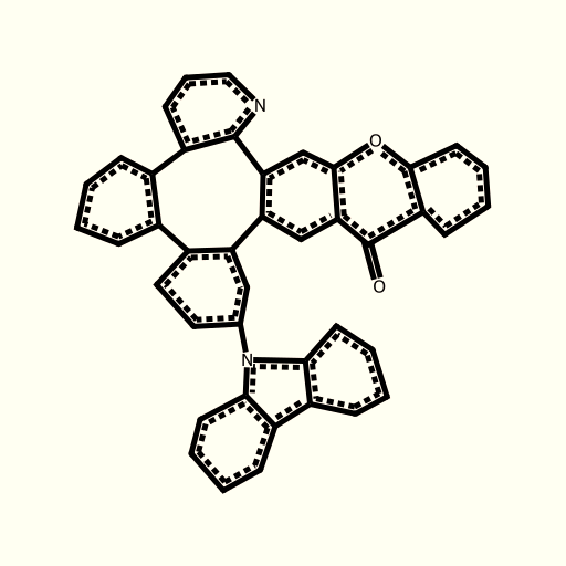 O=c1c2ccccc2oc2cc3c(cc12)-c1cc(-n2c4ccccc4c4ccccc42)ccc1-c1ccccc1-c1cccnc1-3